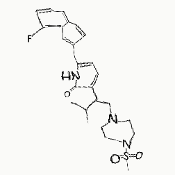 CC(C)C(CN1CCN(S(C)(=O)=O)CC1)c1ccc(-c2ccc3cccc(F)c3c2)[nH]c1=O